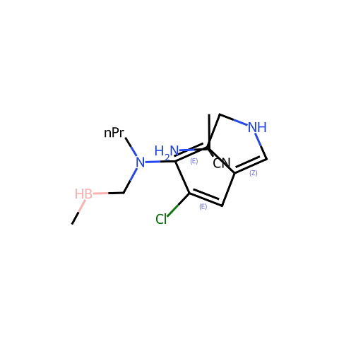 CBCN(CCC)C1=C(/C#N)CN/C=C(C(C)N)/C=C\1Cl